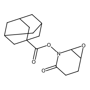 O=C1CCC2OC2N1OC(=O)C12CC3CC(CC(C3)C1)C2